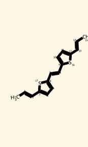 C/C=C/c1ccc(/C=C/c2ccc(/C=C/C)s2)s1